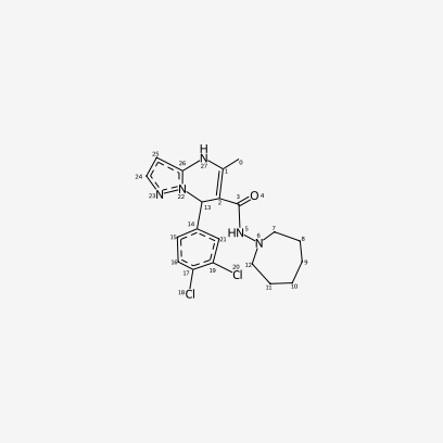 CC1=C(C(=O)NN2CCCCCC2)C(c2ccc(Cl)c(Cl)c2)n2nccc2N1